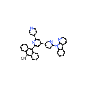 [C-]#[N+]c1c2ccccc2c(-c2cc(-c3ccc(-n4c5ccccc5c5cccnc54)nc3)cc(-c3ccncc3)n2)c2ccccc12